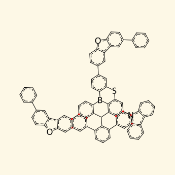 c1ccc(-c2ccc3oc4ccc(-c5ccc6c(c5)Sc5cc(-n7c8ccccc8c8ccccc87)cc7c5B6c5ccc(-c6ccc8oc9ccc(-c%10ccccc%10)cc9c8c6)cc5C7c5c(-c6ccccc6)cccc5-c5ccccc5)cc4c3c2)cc1